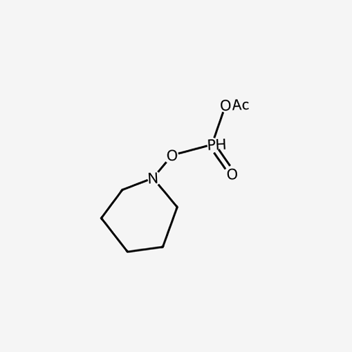 CC(=O)O[PH](=O)ON1CCCCC1